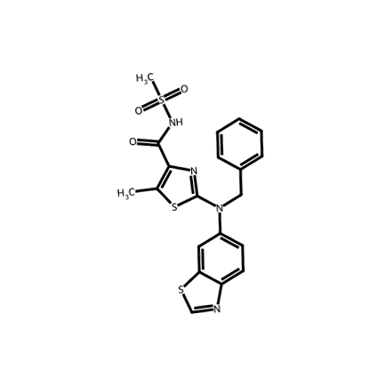 Cc1sc(N(Cc2ccccc2)c2ccc3ncsc3c2)nc1C(=O)NS(C)(=O)=O